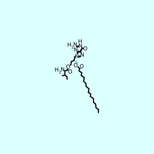 CCCCCCCCCCCCCCCCCC(=O)OC[C@H](CCOC(=O)[C@@H](N)C(C)CC)Cn1cnc2c(=O)[nH]c(N)nc21